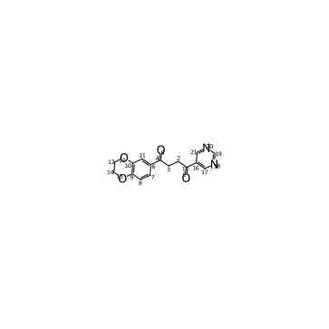 O=C(CCC(=O)c1ccc2c(c1)OCCO2)c1cncnc1